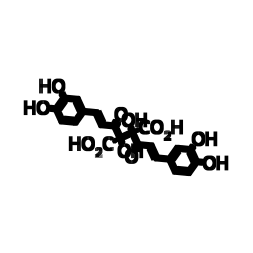 O=C(O)[C@@](O)(C(=O)C=Cc1ccc(O)c(O)c1)[C@@](O)(C(=O)O)C(=O)C=Cc1ccc(O)c(O)c1